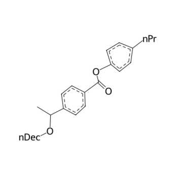 CCCCCCCCCCOC(C)c1ccc(C(=O)Oc2ccc(CCC)cc2)cc1